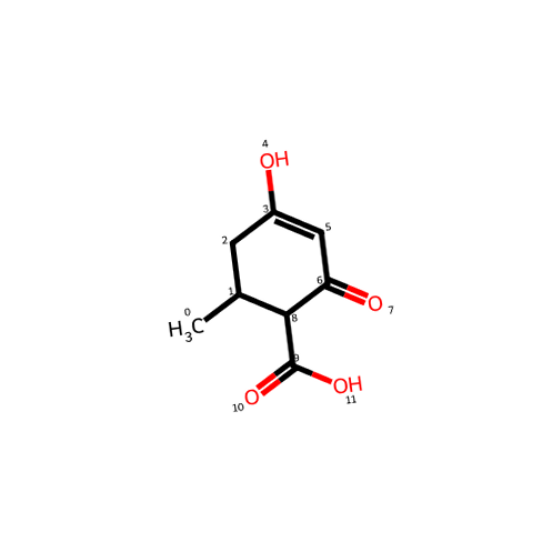 CC1CC(O)=CC(=O)C1C(=O)O